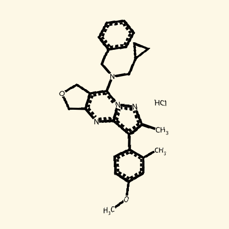 COc1ccc(-c2c(C)nn3c(N(Cc4ccccc4)CC4CC4)c4c(nc23)COC4)c(C)c1.Cl